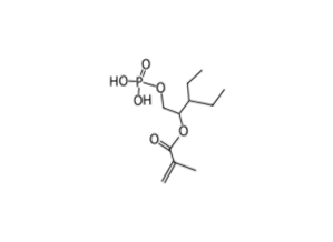 C=C(C)C(=O)OC(COP(=O)(O)O)C(CC)CC